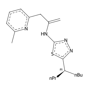 C=C(Cc1cccc(C)n1)Nc1nnc([C@H](CCC)CCCC)s1